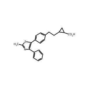 Cc1nc(-c2ccccc2)c(-c2ccc(CCC3CC3C(=O)O)cc2)s1